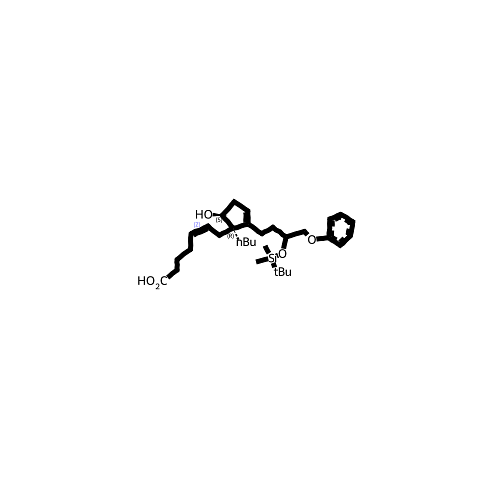 CCCC[C@@]1(C/C=C\CCCC(=O)O)C(CCC(COc2ccccc2)O[Si](C)(C)C(C)(C)C)=CC[C@@H]1O